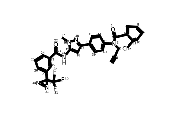 C#CCN(C(=O)c1ccccc1Cl)c1ccc(-c2cc(NC(=O)c3cccc(C4(C(F)(F)F)N=N4)c3)n(C)n2)cc1